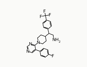 NCC(c1ccc(C(F)(F)F)cc1)C1CCN(c2ncncc2-c2ccc(F)cc2)CC1